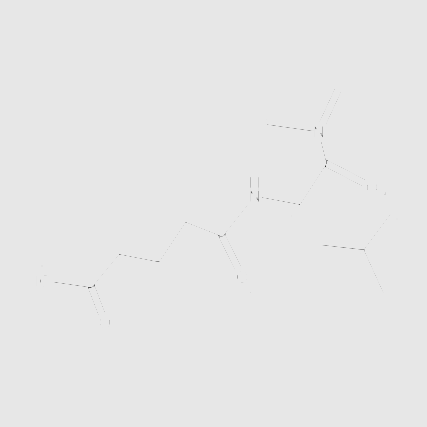 C=[N+](C)C(=O)[C@H](CC(C)C)NC(=O)CCCC(=O)O